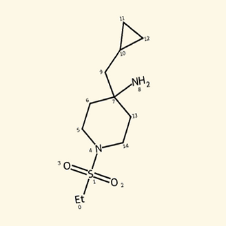 CCS(=O)(=O)N1CCC(N)(CC2CC2)CC1